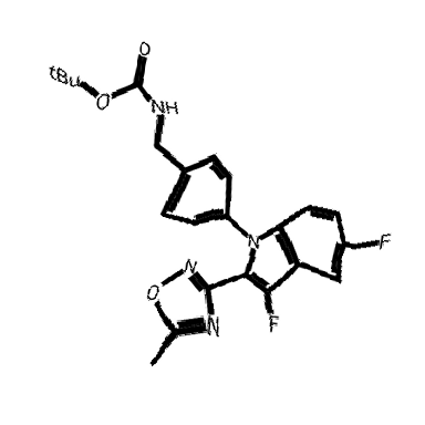 Cc1nc(-c2c(F)c3cc(F)ccc3n2-c2ccc(CNC(=O)OC(C)(C)C)cc2)no1